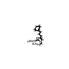 CCCCCCCCCCCn1cc(CCCc2ccccc2)nc1CCCCCCC